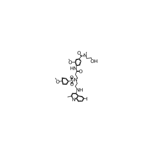 COc1ccc(S(=O)(=O)N(CCNc2cc(C)nc3ccc(I)cc23)CCC(=O)Nc2ccc(C(=O)N(C)CCO)cc2OC)cc1